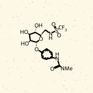 CNC(=O)Nc1ccc(O[C@H]2O[C@H](CNS(=O)(=O)C(F)(F)F)[C@@H](O)[C@H](O)[C@@H]2O)cc1